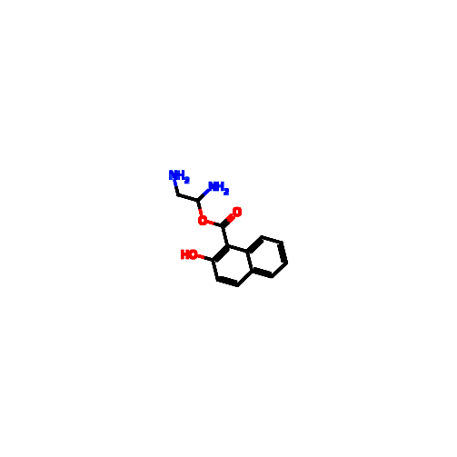 NCC(N)OC(=O)c1c(O)ccc2ccccc12